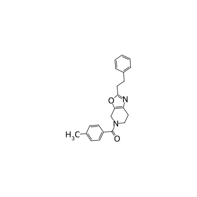 Cc1ccc(C(=O)N2CCc3nc(CCc4ccccc4)oc3C2)cc1